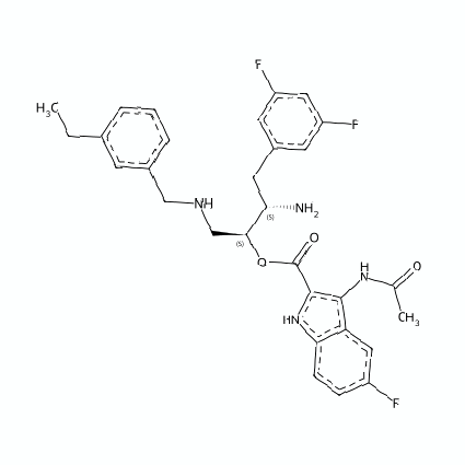 CCc1cccc(CNC[C@H](OC(=O)c2[nH]c3ccc(F)cc3c2NC(C)=O)[C@@H](N)Cc2cc(F)cc(F)c2)c1